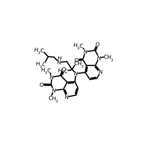 CC(C)CNCC(C)(C)N(c1ccnc2c1c(=O)n(C)c(=O)n2C)c1ccnc2c1c(=O)n(C)c(=O)n2C